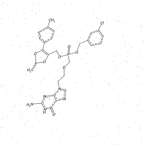 C=C1OC(COP(=O)(COCCn2cnc3c(=O)[nH]c(N)nc32)OCc2cccc(Cl)c2)=C(c2ccc(C)cc2)O1